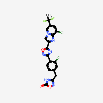 CC(F)(F)c1cc(Cl)c2nc(-c3nc(-c4ccc(Cc5noc(=O)[nH]5)cc4Cl)no3)cn2c1